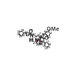 COc1cccc([C@@H](C)N(C(=O)C(c2ccccc2)c2ccccc2)[C@H](CCCNC(=O)OCc2ccccc2)C(N)=O)c1